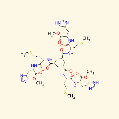 COC(=O)C(Cc1c[nH]cn1)NC(=O)[C@@H](CCSC)NC(=O)[C@@H]1C[C@H](C(=O)N[C@@H](CCSC)C(=O)N[C@@H](Cc2c[nH]cn2)C(=O)OC)C[C@H](C(=O)N[C@@H](CCSC)C(=O)N[C@@H](Cc2c[nH]cn2)C(=O)OC)C1